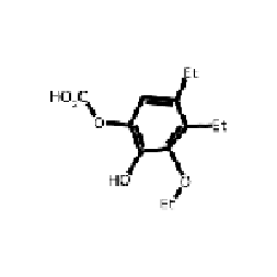 CCOc1c(O)c(OC(=O)O)cc(CC)c1CC